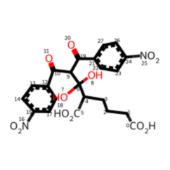 O=C(O)CCCC(C(=O)O)C(O)(O)C(C(=O)c1ccc([N+](=O)[O-])cc1)C(=O)c1ccc([N+](=O)[O-])cc1